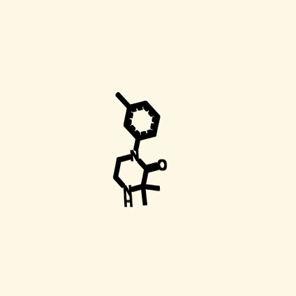 Cc1cccc(N2CCNC(C)(C)C2=O)c1